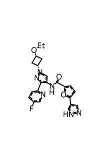 CCO[C@H]1C[C@H](n2cc(NC(=O)c3ccc(-c4cn[nH]c4)o3)c(-c3ccc(F)cn3)n2)C1